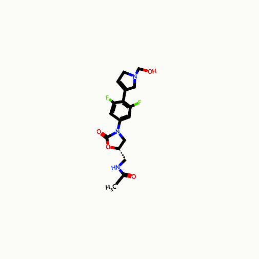 CC(=O)NC[C@H]1CN(c2cc(F)c(C3=CCN(CO)C3)c(F)c2)C(=O)O1